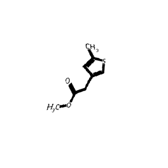 COC(=O)Cc1csc(C)c1